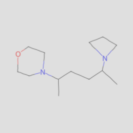 CC(CCC(C)N1CCOCC1)N1CCC1